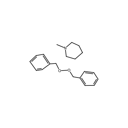 CN1CCCCC1.c1ccc(COOCc2ccccc2)cc1